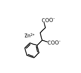 O=C([O-])CCC(C(=O)[O-])c1ccccc1.[Zn+2]